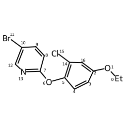 CCOc1ccc(Oc2ccc(Br)cn2)c(Cl)c1